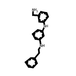 NCc1cccc(Nc2cccc(NCCc3ccccc3)c2)c1